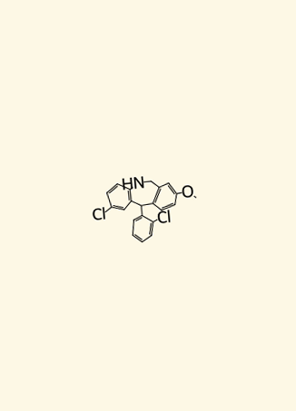 COc1ccc2c(c1)CNc1ccc(Cl)cc1C2c1ccccc1Cl